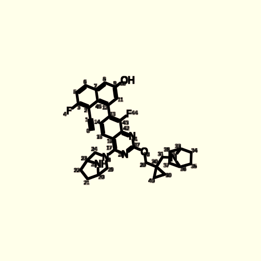 C#Cc1c(F)ccc2cc(O)cc(-c3ccc4c(N5CC6CCC(C5)N6)nc(OCC5(CN6C7CCC6CC7)CC5)nc4c3F)c12